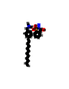 CCCCCCCCCCCC.CN(C)Cc1ccccc1.O=C1NS(=O)(=O)c2ccccc21